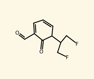 O=CC1=CC=CC(C(CF)CF)C1=O